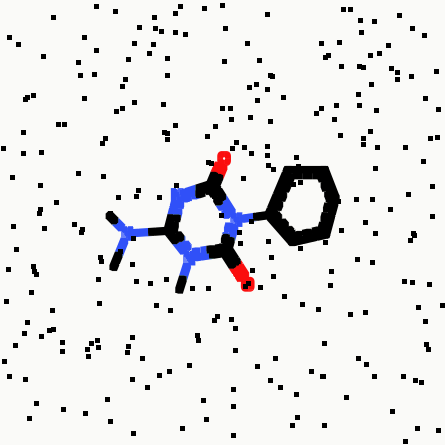 CN(C)c1nc(=O)n(-c2ccccc2)c(=O)n1C